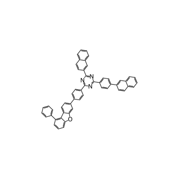 c1ccc(-c2cccc3oc4cc(-c5ccc(-c6nc(-c7ccc(-c8ccc9ccccc9c8)cc7)nc(-c7ccc8ccccc8c7)n6)cc5)ccc4c23)cc1